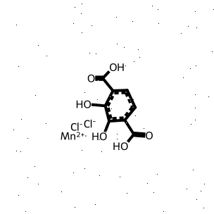 O=C(O)c1ccc(C(=O)O)c(O)c1O.[Cl-].[Cl-].[Mn+2]